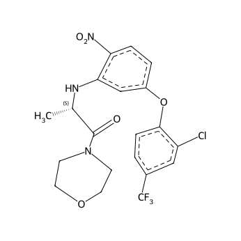 C[C@H](Nc1cc(Oc2ccc(C(F)(F)F)cc2Cl)ccc1[N+](=O)[O-])C(=O)N1CCOCC1